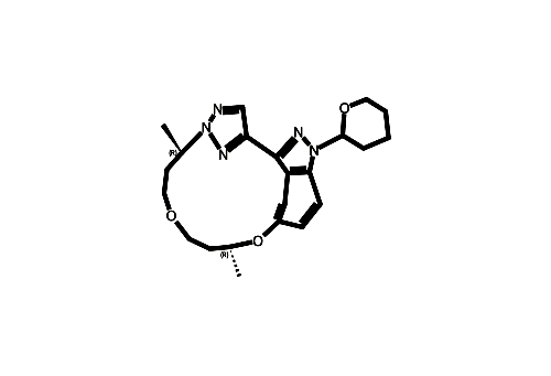 C[C@@H]1CCOCC[C@@H](C)n2ncc(n2)-c2nn(C3CCCCO3)c3ccc(cc23)O1